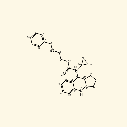 O=C(OCCOCc1ccccc1)N(C1CC1)C1c2ccccc2NC2CCCC21